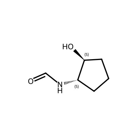 O=CN[C@H]1CCC[C@@H]1O